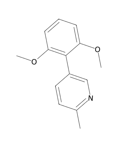 COc1cccc(OC)c1-c1ccc(C)nc1